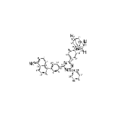 N#Cc1cccc2c(-c3ccc(-c4nc(-c5ccccc5)nc(-c5ccc(C67C[C@H]8C[C@H](C6)C[C@@H](C7)C8)cc5)n4)cc3)cccc12